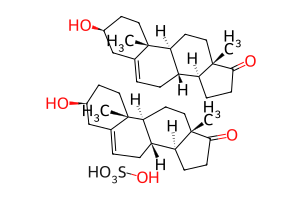 C[C@]12CC[C@H](O)CC1=CC[C@@H]1[C@@H]2CC[C@]2(C)C(=O)CC[C@@H]12.C[C@]12CC[C@H](O)CC1=CC[C@@H]1[C@@H]2CC[C@]2(C)C(=O)CC[C@@H]12.O=S(=O)(O)O